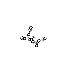 CC1(C)c2cc(N(c3ccc(-c4nc5ccccc5s4)cc3)c3ccc4ccccc4c3)ccc2-c2ccc(-n3c4ccccc4c4cc(-c5nc6ccccc6s5)ccc43)cc21